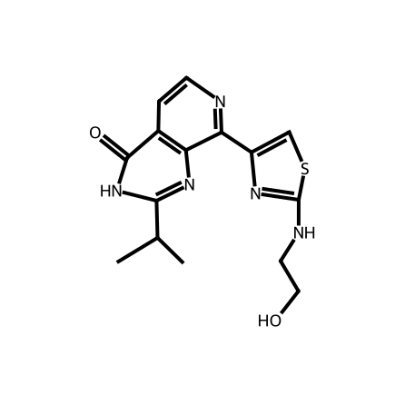 CC(C)c1nc2c(-c3csc(NCCO)n3)nccc2c(=O)[nH]1